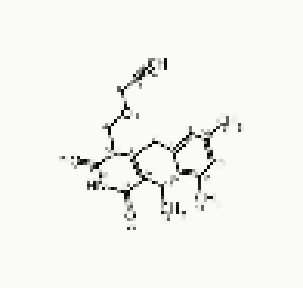 C#CCOCn1c(Cc2cc(C)cc(C)c2)c(CC)c(=O)[nH]c1=O